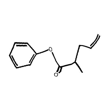 C=CCC(C)C(=O)Oc1ccccc1